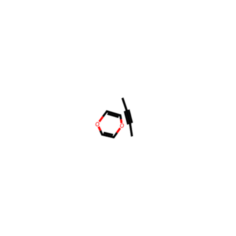 C1=COC=CO1.CC#CC